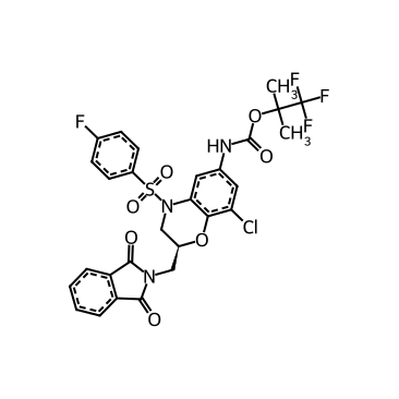 CC(C)(OC(=O)Nc1cc(Cl)c2c(c1)N(S(=O)(=O)c1ccc(F)cc1)C[C@H](CN1C(=O)c3ccccc3C1=O)O2)C(F)(F)F